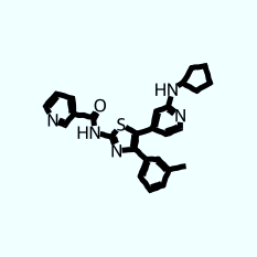 Cc1cccc(-c2nc(NC(=O)c3cccnc3)sc2-c2ccnc(NC3CCCC3)c2)c1